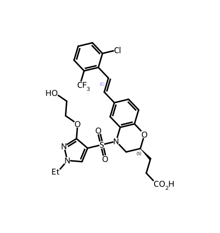 CCn1cc(S(=O)(=O)N2C[C@H](CCC(=O)O)Oc3ccc(/C=C/c4c(Cl)cccc4C(F)(F)F)cc32)c(OCCO)n1